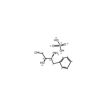 N[C@@H](Cc1ccccc1)[C@@H](O)CCl.O=S(=O)(O)O